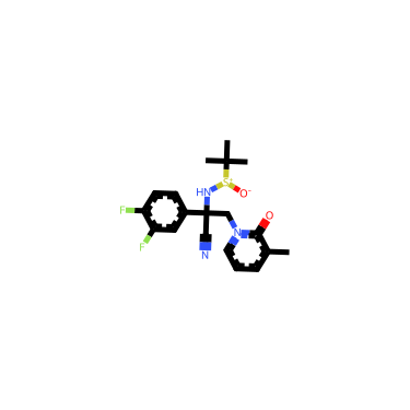 Cc1cccn(CC(C#N)(N[S+]([O-])C(C)(C)C)c2ccc(F)c(F)c2)c1=O